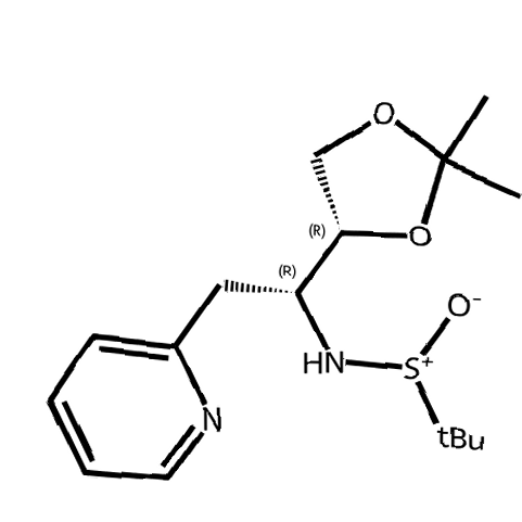 CC1(C)OC[C@@H]([C@@H](Cc2ccccn2)N[S+]([O-])C(C)(C)C)O1